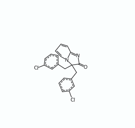 O=C1N=C2C=CC=CN2C1(Cc1cccc(Cl)c1)Cc1cccc(Cl)c1